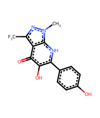 Cn1nc(C(F)(F)F)c2c(=O)c(O)c(-c3ccc(O)cc3)[nH]c21